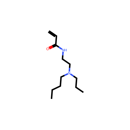 C=CC(=O)NCCN(CCC)CCCC